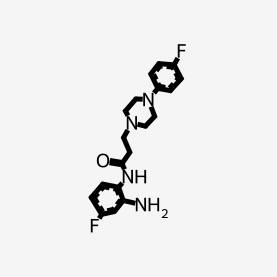 Nc1cc(F)ccc1NC(=O)CCN1CCN(c2ccc(F)cc2)CC1